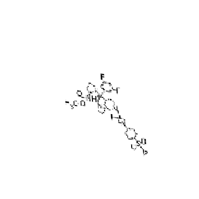 COC(=O)N[C@H]1CCC[C@@H]1[C@](CN1CCC1)(c1cc(F)cc(F)c1)C1CCN(CC2(F)CN(c3ccc(S(=O)(=O)C4CC4)cc3)C2)CC1